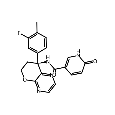 Cc1ccc([C@@]2(NC(=O)c3ccc(=O)[nH]c3)CCOc3nccnc32)cc1F